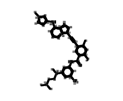 Cc1cc(F)c(C(=O)Nc2cc(N(C)CCN(C)C)cc(C(F)(F)F)c2)cc1C#Cc1cnc2c(Nc3cnn(C)c3)cccn12